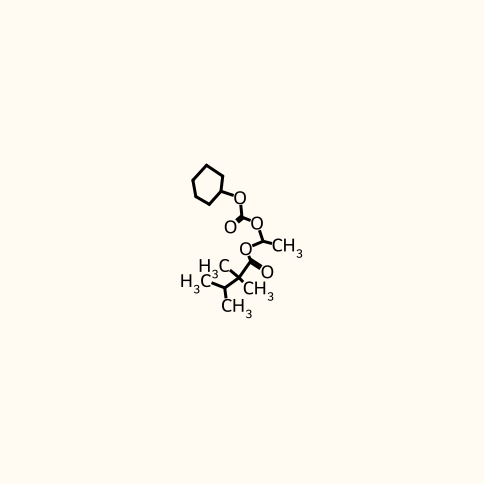 CC(OC(=O)OC1CCCCC1)OC(=O)C(C)(C)C(C)C